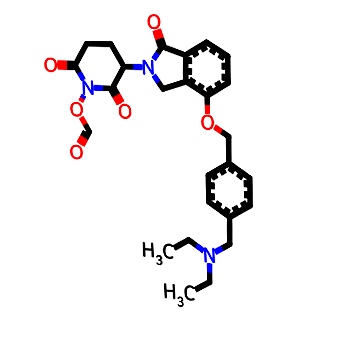 CCN(CC)Cc1ccc(COc2cccc3c2CN(C2CCC(=O)N(OC=O)C2=O)C3=O)cc1